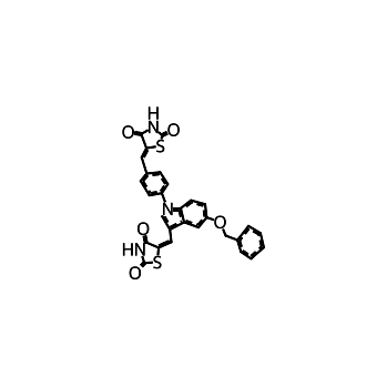 O=C1NC(=O)C(=Cc2ccc(-n3cc(C=C4SC(=O)NC4=O)c4cc(OCc5ccccc5)ccc43)cc2)S1